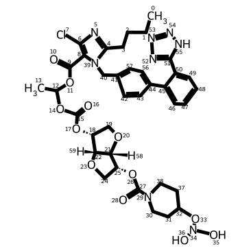 CCCCc1nc(Cl)c(C(=O)OC(C)OC(=O)O[C@@H]2CO[C@H]3[C@@H]2OC[C@H]3OC(=O)N2CCC(ON(O)O)CC2)n1Cc1ccc(-c2ccccc2-c2nnn[nH]2)cc1